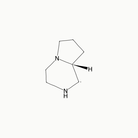 [CH]1NCCN2CCC[C@H]12